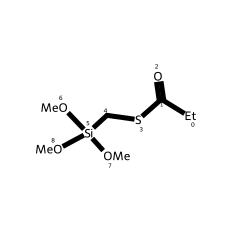 CCC(=O)SC[Si](OC)(OC)OC